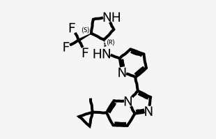 CC1(c2ccc3ncc(-c4cccc(N[C@H]5CNC[C@@H]5C(F)(F)F)n4)n3c2)CC1